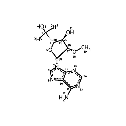 [2H]C([2H])(O)[C@H]1O[C@@H](n2cnc3c(N)ncnc32)[C@H](OC)[C@@H]1O